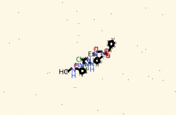 C#CCNC(=O)c1cccc(F)c1Nc1nc(Nc2ccc3c(c2)N(CC)C(=O)CN(C(=O)OCc2ccccc2)C3)ncc1Cl